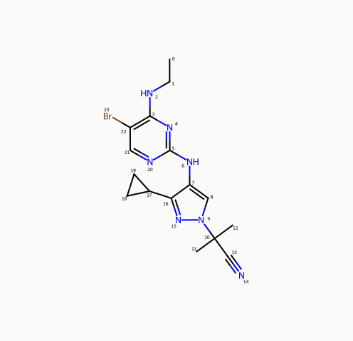 CCNc1nc(Nc2cn(C(C)(C)C#N)nc2C2CC2)ncc1Br